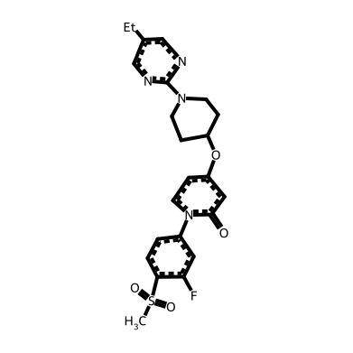 CCc1cnc(N2CCC(Oc3ccn(-c4ccc(S(C)(=O)=O)c(F)c4)c(=O)c3)CC2)nc1